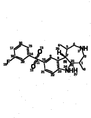 CC1CNCC(C)[C@H]2c3cc(S(=O)(=O)c4cccc(F)c4)ccc3N[C@H]12